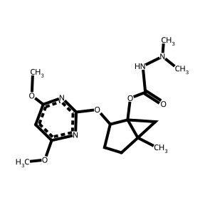 COc1cc(OC)nc(OC2CCC3(C)CC23OC(=O)NN(C)C)n1